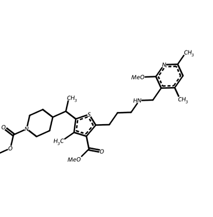 COC(=O)c1c(CCCNCc2c(C)cc(C)nc2OC)sc(C(C)C2CCN(C(=O)OC(C)(C)C)CC2)c1C